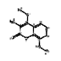 CC(C)Oc1c(O)c(=O)oc2c(OC(C)C)cccc12